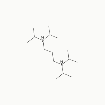 CC(C)[SiH](CCC[SiH](C(C)C)C(C)C)C(C)C